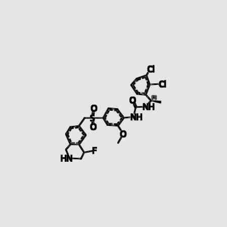 COc1cc(S(=O)(=O)Cc2ccc3c(c2)C(F)CNC3)ccc1NC(=O)N[C@H](C)c1cccc(Cl)c1Cl